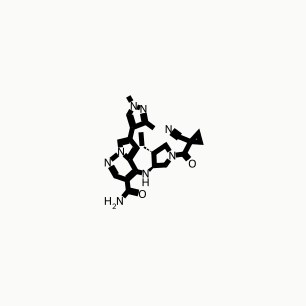 CC[C@@H]1CN(C(=O)C2(C#N)CC2)C[C@H]1Nc1c(C(N)=O)cnn2cc(-c3cn(C)nc3C)cc12